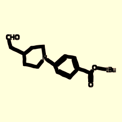 CC(C)(C)OC(=O)c1ccc(N2CCC(CC=O)CC2)cc1